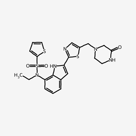 CCN(c1cccc2cc(-c3ncc(CN4CCNC(=O)C4)s3)[nH]c12)S(=O)(=O)c1cccs1